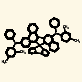 Cc1ccc(N(c2ccccc2)c2ccc3c4c(c5ccccc5c3c2)-c2cc(N(c3ccccc3)c3ccc(C)cc3C)c3ccccc3c2C42c3ccccc3-c3ccccc32)c(C)c1